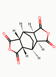 O=C1OC(=O)[C@H]2[C@H]3CC[C@@H]([C@@H]12)[C@H]1C(=O)OC(=O)[C@@H]31